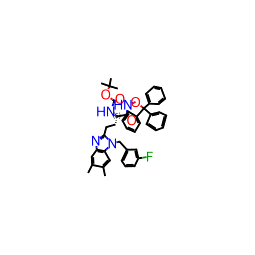 Cc1cc2nc(CC[C@H](NC(=O)OC(C)(C)C)C(=O)NOC(c3ccccc3)(c3ccccc3)c3ccccc3)n(Cc3cccc(F)c3)c2cc1C